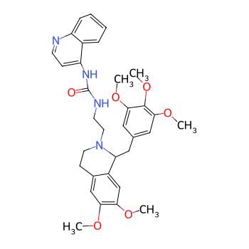 COc1cc2c(cc1OC)C(Cc1cc(OC)c(OC)c(OC)c1)N(CCNC(=O)Nc1ccnc3ccccc13)CC2